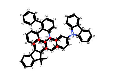 CC1(C)c2ccccc2-c2ccc(N(c3cccc(-n4c5ccccc5c5ccccc54)c3)c3cccc(-c4ccccc4)c3-c3ccccc3-c3ccccc3)cc21